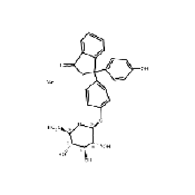 O=C1OC(c2ccc(O)cc2)(c2ccc(O[C@@H]3O[C@H](C(=O)O)[C@@H](O)[C@H](O)[C@H]3O)cc2)c2ccccc21.[Na]